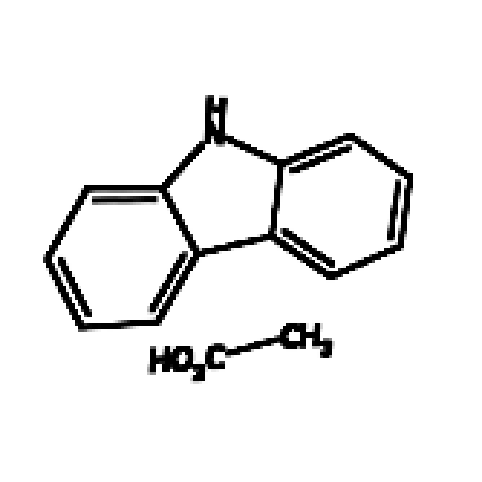 CC(=O)O.c1ccc2c(c1)[nH]c1ccccc12